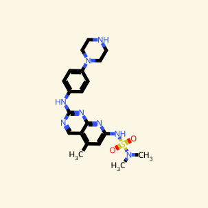 Cc1cc(NS(=O)(=O)N(C)C)nc2nc(Nc3ccc(N4CCNCC4)cc3)ncc12